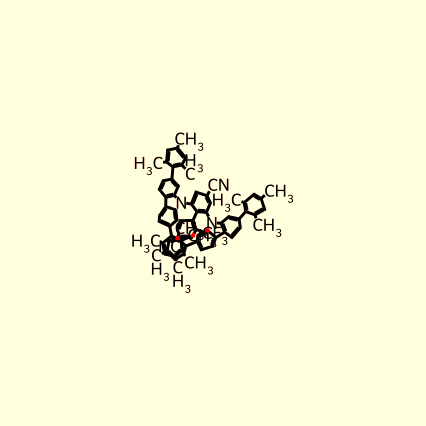 Cc1cc(C)c(-c2ccc3c4ccc(-c5c(C)cc(C)cc5C)cc4n(-c4cc(C#N)cc(-n5c6cc(-c7c(C)cc(C)cc7C)ccc6c6ccc(-c7c(C)cc(C)cc7C)cc65)c4-c4ccc(C#N)cc4C(F)(F)F)c3c2)c(C)c1